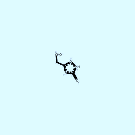 O=[C]Cc1nc(=O)[nH]o1